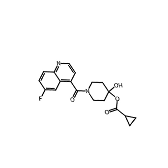 O=C(OC1(O)CCN(C(=O)c2ccnc3ccc(F)cc23)CC1)C1CC1